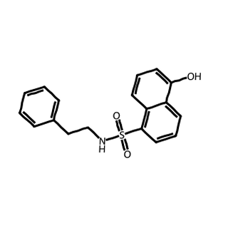 O=S(=O)(NCCc1ccccc1)c1cccc2c(O)cccc12